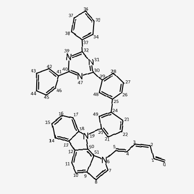 C=C/C=C\C=C\n1ccc2ccc3c4ccccc4n(-c4cccc(-c5cccc(-c6nc(-c7ccccc7)nc(-c7ccccc7)n6)c5)c4)c3c21